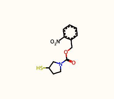 O=C(OCc1ccccc1[N+](=O)[O-])N1CCC(S)C1